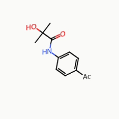 CC(=O)c1ccc(NC(=O)C(C)(C)O)cc1